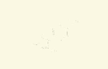 Cc1cc(C(C)(C)C)n(-c2ccc(S(N)(=O)=O)cc2)n1